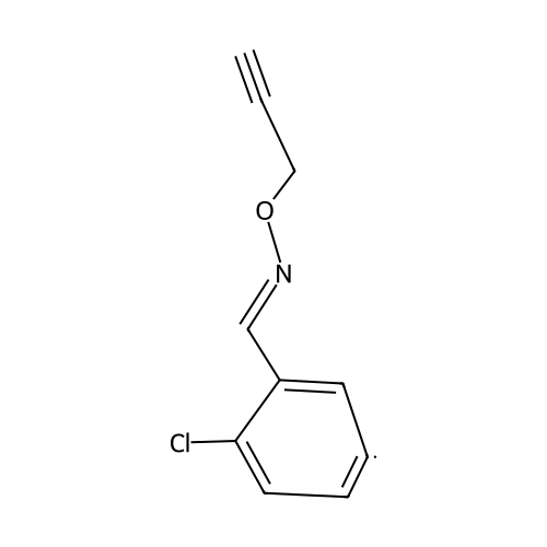 C#CCON=Cc1c[c]ccc1Cl